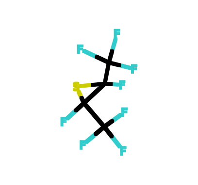 FC(F)(F)C1(F)SC1(F)C(F)(F)F